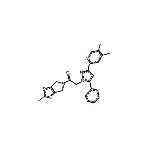 Cc1nc2c(s1)CN(C(=O)Cn1nc(-c3cc(C)c(C)cn3)cc1-c1ccccc1)C2